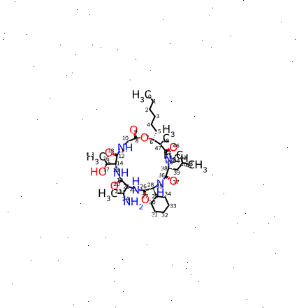 CCCCCC[C@H]1OC(=O)CNC(=O)[C@H]([C@H](C)O)NC(=O)C([C@H](C)N)NC(=O)[C@H](C2CCCCC2)NC(=O)[C@H](CC(C)C)N(C)C(=O)[C@@H]1C